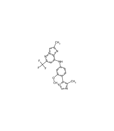 COc1cc(Nc2cc(C(F)(F)F)nn3cc(C)nc23)ccc1-c1ocnc1C